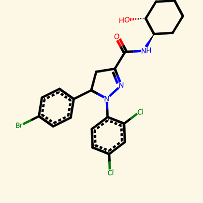 O=C(N[C@@H]1CCCC[C@H]1O)C1=NN(c2ccc(Cl)cc2Cl)C(c2ccc(Br)cc2)C1